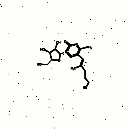 C/C(=C\c1cn([C@@H]2O[C@H](CO)[C@@H](O)[C@H]2O)c(=O)nc1N)CCCO